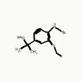 COC(C)(C)c1ccc(NC(C)(C)C)c(OCF)c1